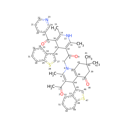 CC(=O)C1=C(C)N(CC(=O)C2=C(C)NC(C)=C(C(=O)c3cccnc3)C2c2csc3ccccc23)C2=C(C(=O)CC(C)(C)C2)C1c1csc2ccccc12